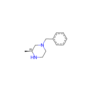 C[C@H]1CN(Cc2ccccc2)CCN1